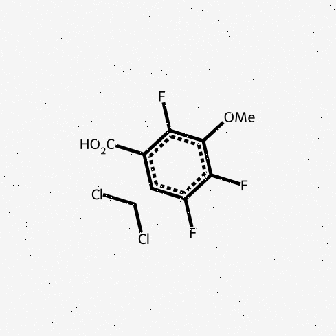 COc1c(F)c(F)cc(C(=O)O)c1F.ClCCl